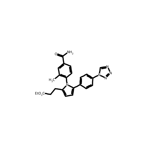 CCOC(=O)CCc1ccc(-c2ccc(-n3cnnn3)cc2)n1-c1ccc(C(N)=O)cc1C